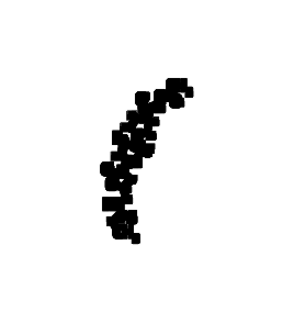 CCC(=S)NCC1CN(c2cc(F)c(N3CCN(C(=O)COC(C)=O)CC3)c(F)c2)C(=O)O1